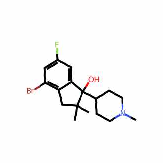 CN1CCC(C2(O)c3cc(F)cc(Br)c3CC2(C)C)CC1